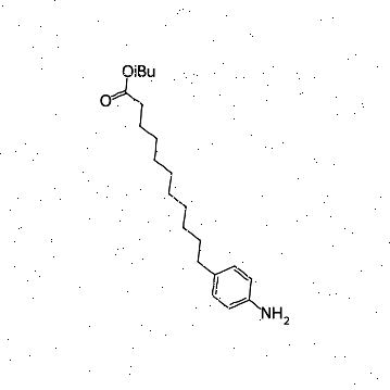 CC(C)COC(=O)CCCCCCCCCCc1ccc(N)cc1